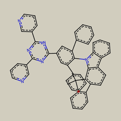 CC1(C)c2ccccc2-c2ccc3c4ccccc4n(-c4c(-c5ccccc5)cc(-c5nc(-c6cccnc6)nc(-c6cccnc6)n5)cc4-c4ccccc4)c3c21